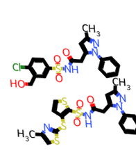 Cc1cc(CC(=O)NS(=O)(=O)c2ccc(Cl)c(CO)c2)n(-c2ccccc2)n1.Cc1csc(Sc2ccsc2S(=O)(=O)NC(=O)Cc2cc(C)nn2-c2ccccc2)n1